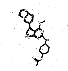 COc1nc(NC2CCC(NC(C)=O)CC2)nc2[nH]cc(-c3cnc4nccn4c3)c12